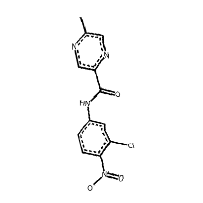 Cc1cnc(C(=O)Nc2ccc([N+](=O)[O-])c(Cl)c2)cn1